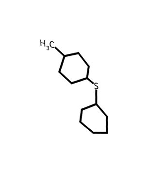 CC1CCC(SC2CCCCC2)CC1